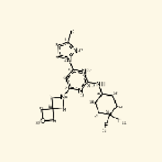 Cc1ccn(-c2cc(N3CC4(COC4)C3)nc(NC3CCC(F)(F)CC3)n2)n1